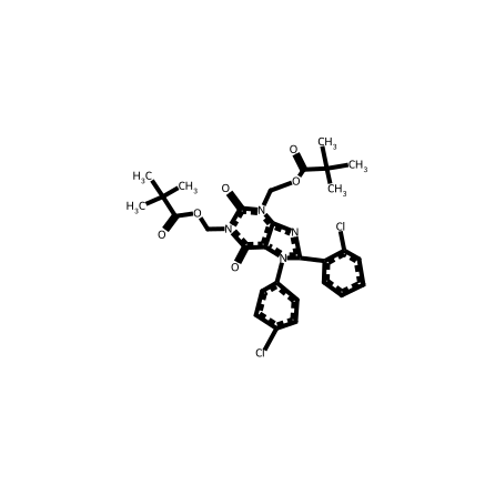 CC(C)(C)C(=O)OCn1c(=O)c2c(nc(-c3ccccc3Cl)n2-c2ccc(Cl)cc2)n(COC(=O)C(C)(C)C)c1=O